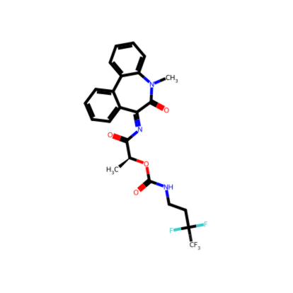 C[C@H](OC(=O)NCCC(F)(F)C(F)(F)F)C(=O)/N=c1/c(=O)n(C)c2ccccc2c2ccccc12